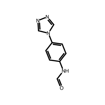 O=CNc1ccc(-n2cnnc2)cc1